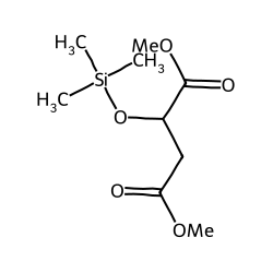 COC(=O)CC(O[Si](C)(C)C)C(=O)OC